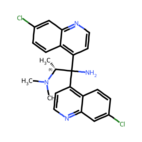 C[C@@H](N(C)C)C(N)(c1ccnc2cc(Cl)ccc12)c1ccnc2cc(Cl)ccc12